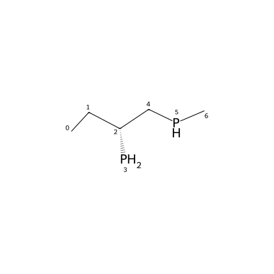 CC[C@@H](P)CPC